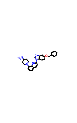 NC1CCN(c2cccc3ccc(-n4cnc5cc(OCc6ccccc6)ccc54)nc23)CC1